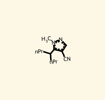 CCCC(CCC)c1c(C#N)cnn1C